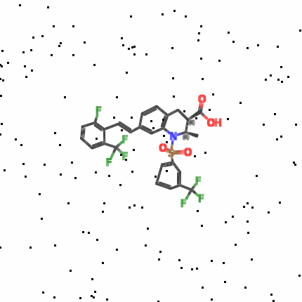 C[C@@H]1[C@H](C(=O)O)Cc2ccc(C=Cc3c(F)cccc3C(F)(F)F)cc2N1S(=O)(=O)c1cccc(C(F)(F)F)c1